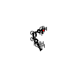 O=C(NCC1CC1)Nc1ccc(C(=O)N2CCN(Cc3ccc(C(O)(C(F)(F)F)C(F)(F)F)cc3)C(=O)C2)cc1F